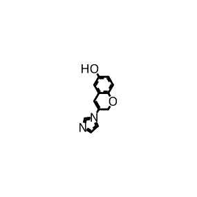 Oc1ccc2c(c1)C=C(n1ccnc1)CO2